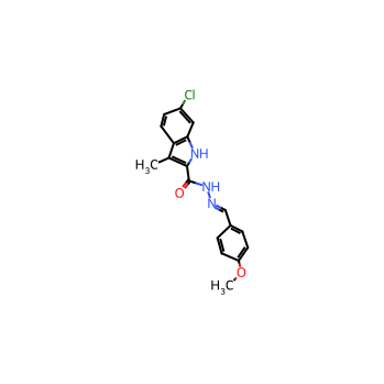 COc1ccc(C=NNC(=O)c2[nH]c3cc(Cl)ccc3c2C)cc1